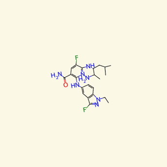 CCn1nc(F)c2cc(Nc3nc(NC(CC(C)C)C(C)N)c(F)cc3C(N)=O)ccc21